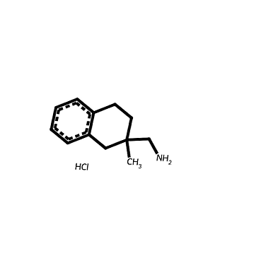 CC1(CN)CCc2ccccc2C1.Cl